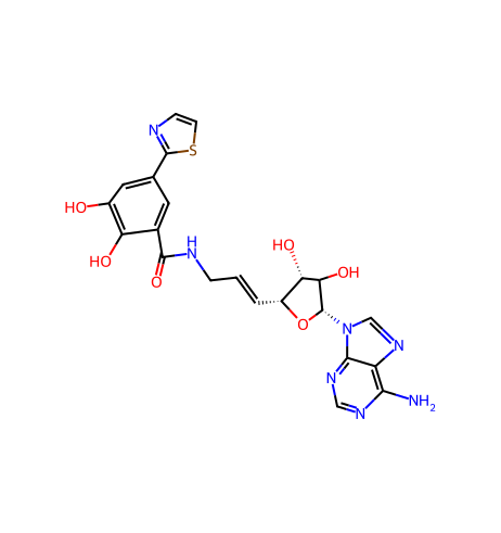 Nc1ncnc2c1ncn2[C@@H]1O[C@H](/C=C/CNC(=O)c2cc(-c3nccs3)cc(O)c2O)[C@H](O)C1O